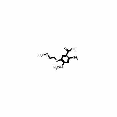 COCCOc1cc(C(C)=O)c(N)cc1OC